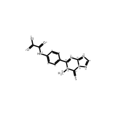 CCC(=O)C(=O)Nc1ccc(-c2nc3ncnn3c(=S)n2C)cc1